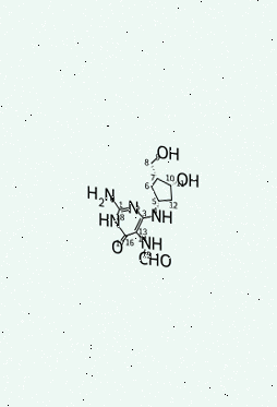 Nc1nc(N[C@@H]2C[C@H](CO)[C@H](O)C2)c(NC=O)c(=O)[nH]1